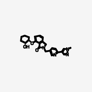 Cn1cc(-c2ccc(CN3Cc4cccc(O[C@@H]5CCCC[C@H]5O)c4C3=O)cn2)cn1